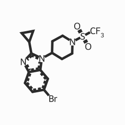 O=S(=O)(N1CCC(n2c(C3CC3)nc3ccc(Br)cc32)CC1)C(F)(F)F